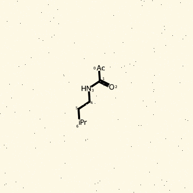 CC(=O)C(=O)NCCC(C)C